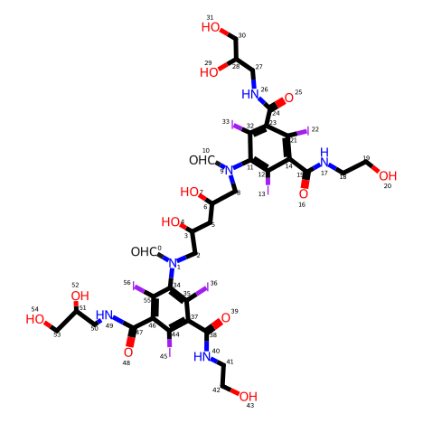 O=CN(CC(O)CC(O)CN(C=O)c1c(I)c(C(=O)NCCO)c(I)c(C(=O)NCC(O)CO)c1I)c1c(I)c(C(=O)NCCO)c(I)c(C(=O)NCC(O)CO)c1I